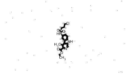 CCOC(=O)c1ncc2[nH]c3ccc(NS(=O)(=O)CCCCl)cc3c2c1C